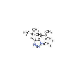 CC(C)Cc1c(CC(C)(C)C)nnn1C